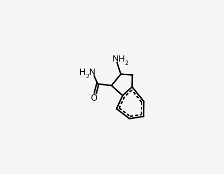 NC(=O)C1c2ccccc2CC1N